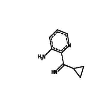 N=C(c1ncccc1N)C1CC1